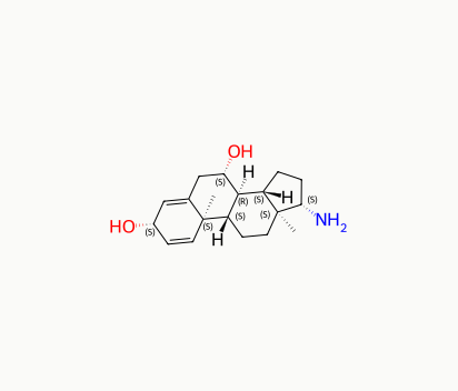 C[C@]12CC[C@H]3[C@@H]([C@@H](O)CC4=C[C@@H](O)C=C[C@@]43C)[C@@H]1CC[C@@H]2N